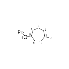 CC1CCCC(OC(C)C)CC1